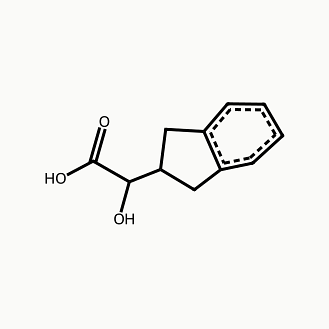 O=C(O)C(O)C1Cc2ccccc2C1